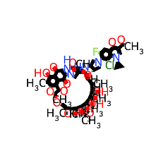 CO[C@H]1/C=C/O[C@@]2(C)Oc3c(C)c(O)c4c(c3C2=O)C(=O)C(N2CC(C(=O)NC3CCN(c5c(F)cc6c(=O)c(C(C)=O)cn(C7CC7)c6c5Cl)C3)C2)=C(NC(=O)/C(C)=C\C=C\[C@H](C)[C@H](O)[C@@H](C)[C@@H](O)[C@@H](C)[C@H](OC(C)=O)[C@@H]1C)C4=O